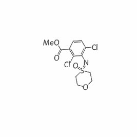 COC(=O)c1ccc(Cl)c(N=S2(=O)CCOCC2)c1Cl